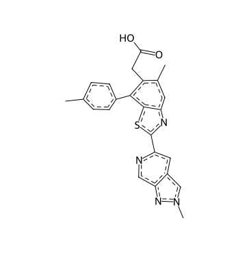 Cc1ccc(-c2c(CC(=O)O)c(C)cc3nc(-c4cc5cn(C)nc5cn4)sc23)cc1